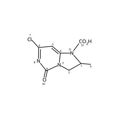 CC1Cn2c(cc(Cl)nc2=O)N1C(=O)O